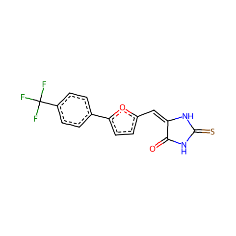 O=C1NC(=S)NC1=Cc1ccc(-c2ccc(C(F)(F)F)cc2)o1